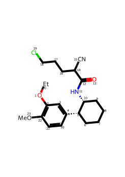 CCOc1cc([C@H]2CCCC[C@H]2NC(=O)C(C#N)CCCCl)ccc1OC